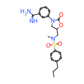 CCCc1ccc(S(=O)(=O)N(C)CC2CN(c3cccc(C(=N)N)c3)C(=O)O2)cc1